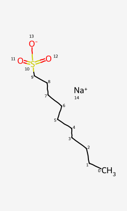 CCCCCCCCCCS(=O)(=O)[O-].[Na+]